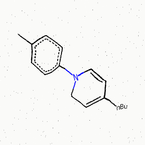 CCCCC1=CCN(c2ccc(C)cc2)C=C1